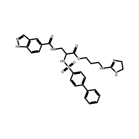 O=C(NCC(NS(=O)(=O)c1ccc(-c2ccccc2)cc1)C(=O)OCCCNC1=NCCN1)c1ccc2[nH]ncc2c1